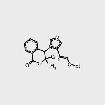 CCO/C=C/c1cncn1C1c2ccccc2C(=O)OC1(C)C